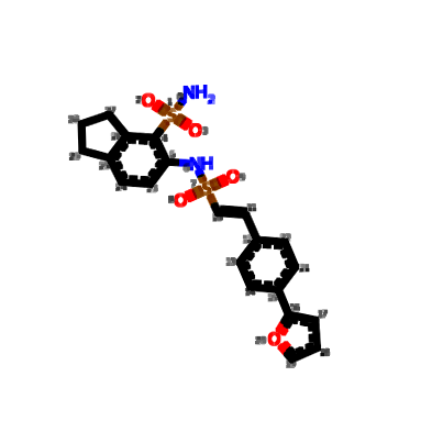 NS(=O)(=O)c1c(NS(=O)(=O)/C=C/c2ccc(-c3ccco3)cc2)ccc2c1CCC2